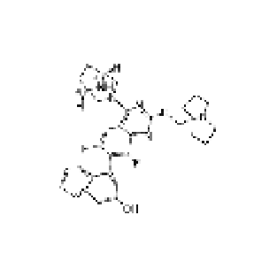 Oc1cc(-c2c(F)cc3c(N4C[C@H]5CC[C@@H](C4)N5)nc(OCC45CCCN4CCC5)nc3c2F)c2ccccc2c1